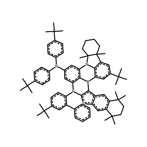 CC(C)(C)c1ccc(N(c2ccc(C(C)(C)C)cc2)c2cc3c4c(c2)N2c5c(cc(C(C)(C)C)cc5C5(C)CCCCC25C)B4c2c(sc4cc5c(cc24)C(C)(C)CCC5(C)C)N3c2ccc(C(C)(C)C)cc2-c2ccccc2)cc1